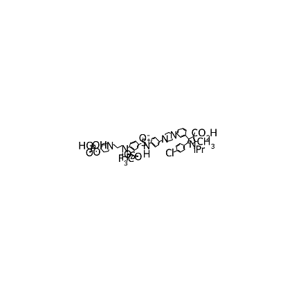 Cc1c(C(=O)O)c(-c2cccc(N3CCN(c4ccc(N[S+]([O-])c5ccc(NCCCN6CCC(OP(=O)(O)O)CC6)c(S(=O)(=O)C(F)(F)F)c5)cc4)CC3)c2)c(-c2ccc(Cl)cc2)n1C(C)C